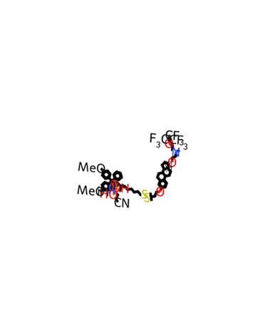 COc1ccc(C(OCC(CCCCCCSSC(C)(C)CCOc2ccc3c(c2)CCC2C3CC[C@@]3(C)C2CC[C@@H]3OCCN(C)CCOC(C(F)(F)F)(C(F)(F)F)C(F)(F)F)CP(O)(O)(CCC#N)N(C(C)C)C(C)C)(c2ccccc2)c2ccc(OC)cc2)cc1